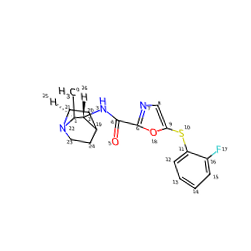 C[C@H]1[C@H](NC(=O)c2ncc(Sc3ccccc3F)o2)C2CCN1CC2